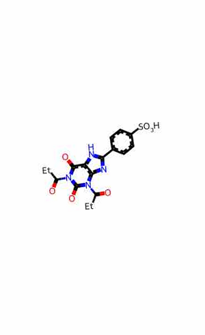 CCC(=O)n1c(=O)c2[nH]c(-c3ccc(S(=O)(=O)O)cc3)nc2n(C(=O)CC)c1=O